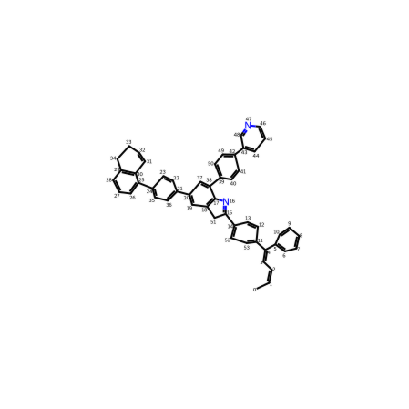 C/C=C\C=C(/c1ccccc1)c1ccc(C2=Nc3c(cc(-c4ccc(-c5cccc6c5C=CCC6)cc4)cc3-c3ccc(-c4cccnc4)cc3)C2)cc1